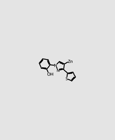 Oc1ccccc1-n1c[c]([Zn])c(-c2cccs2)n1